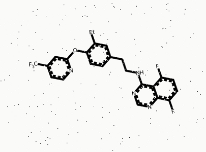 CCc1cc(CCNc2ncnc3c(F)ccc(F)c23)ccc1Oc1cc(C(F)(F)F)ccn1